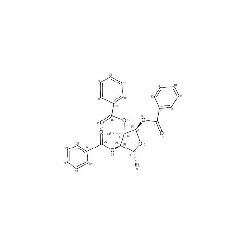 CC[C@H]1O[C@H](OC(=O)c2ccccc2)[C@](C)(OC(=O)c2ccccc2)[C@@H]1OC(=O)c1ccccc1